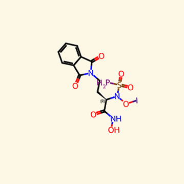 O=C(NO)[C@@H](CCN1C(=O)c2ccccc2C1=O)N(OI)S(=O)(=O)P